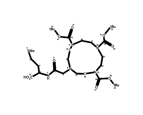 CSCCC(NC(=O)CN1CCN(C(=O)OC(C)(C)C)CCN(C(=O)OC(C)(C)C)CCN(C(=O)OC(C)(C)C)CC1)C(=O)O